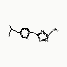 CC(C)c1ccc(-c2nc(N)ns2)nc1